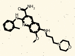 COc1cc2nc(Nc3ccccc3C)c(C(N)=O)cc2cc1NCCCN1CCOCC1